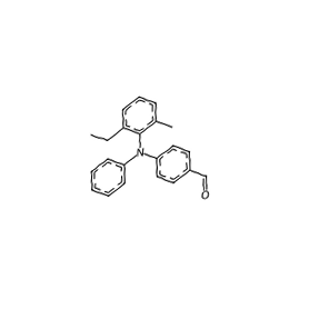 CCc1cccc(C)c1N(c1ccccc1)c1ccc(C=O)cc1